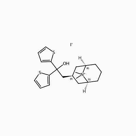 C[N+]1(C)[C@@H]2CCC[C@H]1C[C@@H](CC(O)(c1cccs1)c1cccs1)C2.[I-]